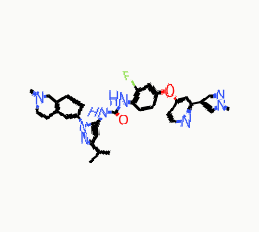 CC(C)c1cc(NC(=O)Nc2ccc(Oc3ccnc(-c4cnn(C)c4)c3)cc2F)n(-c2ccc3c(c2)CCN(C)C3)n1